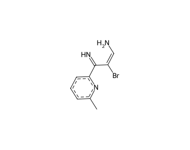 Cc1cccc(C(=N)/C(Br)=C\N)n1